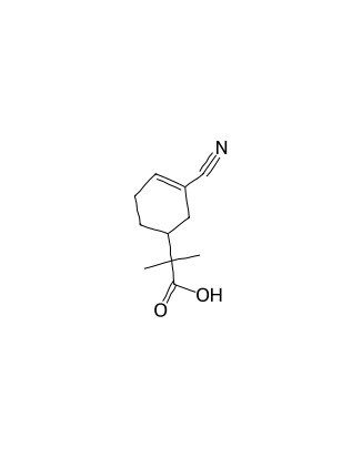 CC(C)(C(=O)O)C1CCC=C(C#N)C1